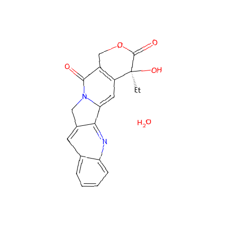 CC[C@@]1(O)C(=O)OCc2c1cc1n(c2=O)Cc2cc3ccccc3nc2-1.O